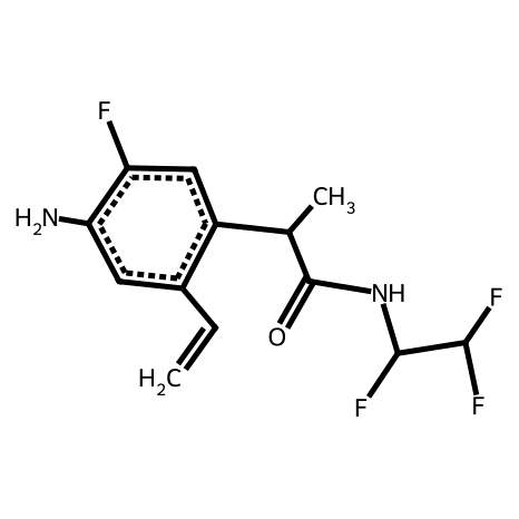 C=Cc1cc(N)c(F)cc1C(C)C(=O)NC(F)C(F)F